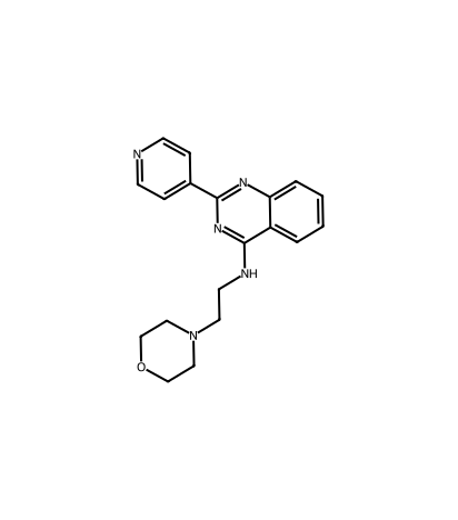 c1ccc2c(NCCN3CCOCC3)nc(-c3ccncc3)nc2c1